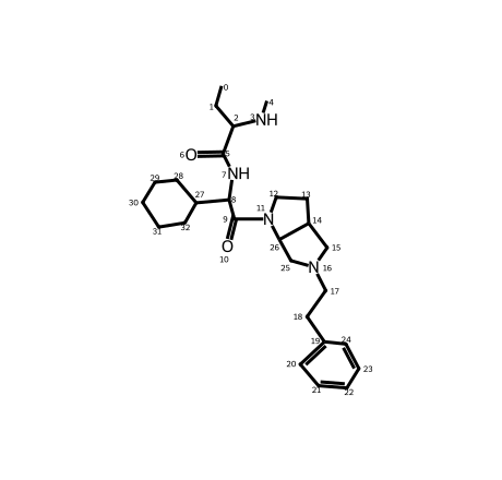 CCC(NC)C(=O)NC(C(=O)N1CCC2CN(CCc3ccccc3)CC21)C1CCCCC1